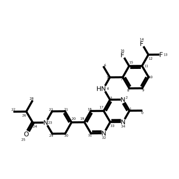 Cc1nc(NC(C)c2cccc(C(F)F)c2F)c2cc(C3=CCN(C(=O)C(C)C)CC3)cnc2n1